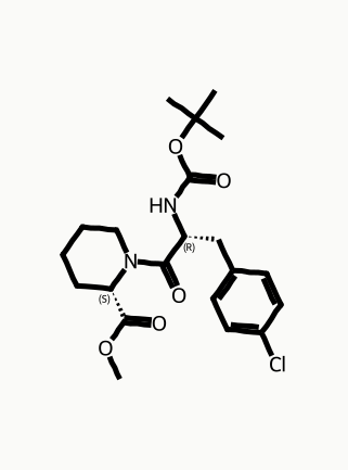 COC(=O)[C@@H]1CCCCN1C(=O)[C@@H](Cc1ccc(Cl)cc1)NC(=O)OC(C)(C)C